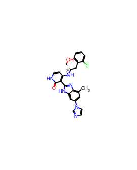 Cc1cc(-n2ccnc2)cc2[nH]c(-c3c(N[C@H](CO)Cc4ccccc4Cl)cc[nH]c3=O)nc12